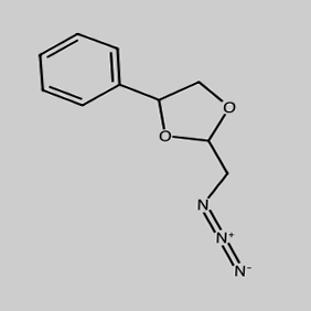 [N-]=[N+]=NCC1OCC(c2ccccc2)O1